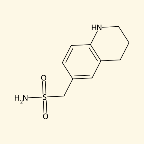 NS(=O)(=O)Cc1ccc2c(c1)CCCN2